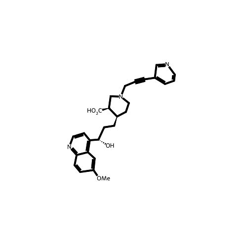 COc1ccc2nccc([C@@H](O)CC[C@@H]3CCN(CC#Cc4cccnc4)C[C@@H]3C(=O)O)c2c1